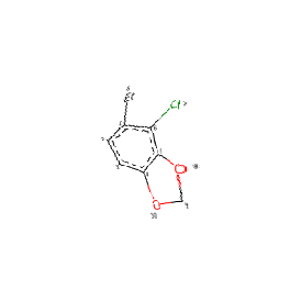 CCc1ccc2c(c1Cl)OCO2